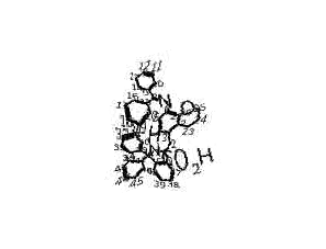 O=C(O)C(Cc1ccc(N=C(c2ccccc2)c2ccccc2)c2c1CCCO2)NC(c1ccccc1)(c1ccccc1)c1ccccc1